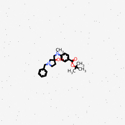 CN(CC1(O)CCN(Cc2ccccc2)C1)c1ccc(C(=O)OC(C)(C)C)cc1